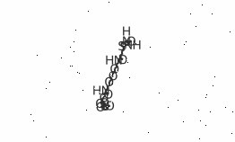 O=C(CCCCC1SCC2NC(=O)NC21)NCCCOCCOCCOCCCNC(=O)COCC(=O)ON1C(=O)CCC1=O